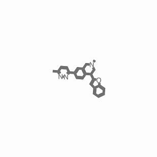 Cc1ccc(-c2ccc3c(c2)CN(C)CC3c2cc3ccccc3o2)nn1